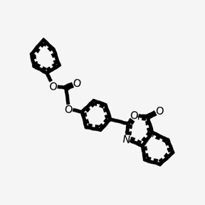 O=C(Oc1ccccc1)Oc1ccc(-c2nc3ccccc3c(=O)o2)cc1